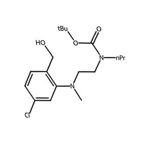 CCCN(CCN(C)c1cc(Cl)ccc1CO)C(=O)OC(C)(C)C